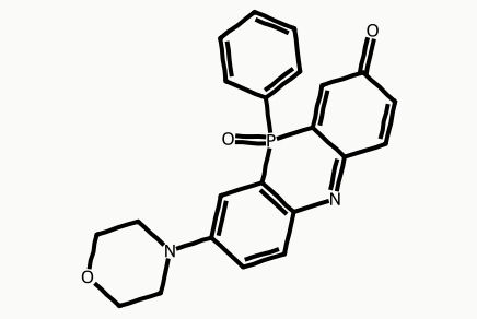 O=C1C=CC2=Nc3ccc(N4CCOCC4)cc3P(=O)(c3ccccc3)C2=C1